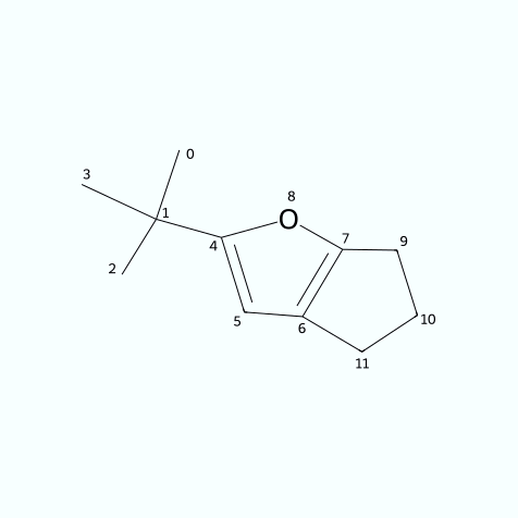 CC(C)(C)c1cc2c(o1)CCC2